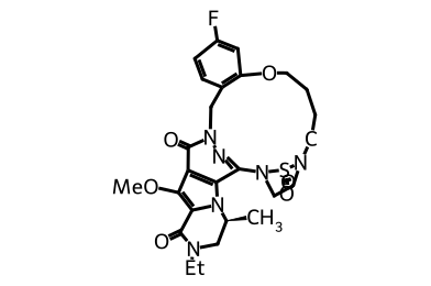 CCN1C[C@H](C)n2c(c(OC)c3c(=O)n4nc(c32)N2CCN(CCCCOc3cc(F)ccc3C4)S2(=O)=O)C1=O